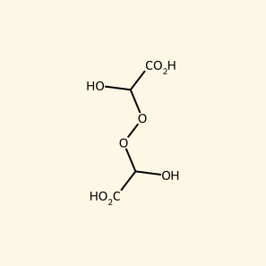 O=C(O)C(O)OOC(O)C(=O)O